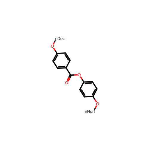 CCCCCCCCCCOc1ccc(C(=O)Oc2ccc(OCCCCCCCCC)cc2)cc1